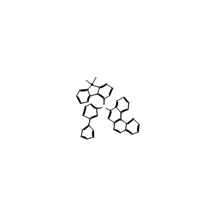 CC1(C)c2ccccc2-c2c(N(c3cccc(-c4ccccc4)c3)c3cc4ccc5ccccc5c4c4ccccc34)cccc21